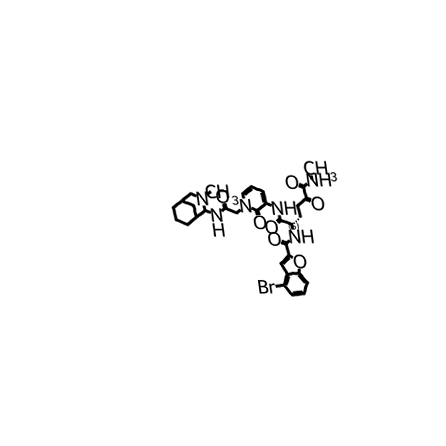 CNC(=O)C(=O)CC[C@H](NC(=O)c1cc2c(Br)cccc2o1)C(=O)Nc1cccn(CC(=O)NC2C3CCCC(C3)CN2C)c1=O